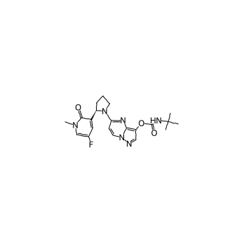 Cn1cc(F)cc([C@H]2CCCN2c2ccn3ncc(OC(=O)NC(C)(C)C)c3n2)c1=O